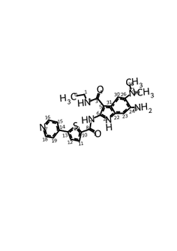 CCNC(=O)c1c(NC(=O)c2ccc(-c3ccncc3)s2)[nH]c2cc(N)c(N(C)C)cc12